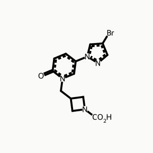 O=C(O)N1CC(Cn2cc(-n3cc(Br)cn3)ccc2=O)C1